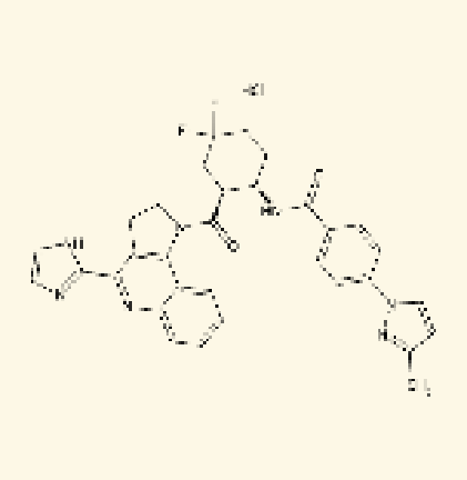 Cc1ccn(-c2ccc(C(=O)N[C@@H]3CCC(F)(F)C[C@@H]3C(=O)N3CCc4c(-c5ncc[nH]5)nc5ccccc5c43)cc2)n1.Cl